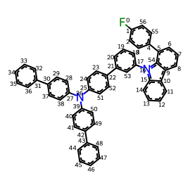 Fc1ccc(-c2cccc3c4ccccc4n(-c4cccc(-c5ccc(N(c6ccc(-c7ccccc7)cc6)c6ccc(-c7ccccc7)cc6)cc5)c4)c23)cc1